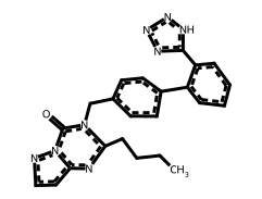 CCCCc1nc2ccnn2c(=O)n1Cc1ccc(-c2ccccc2-c2nnn[nH]2)cc1